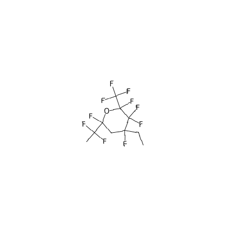 CCC1(F)CC(F)(C(C)(F)F)OC(F)(C(F)(F)F)C1(F)F